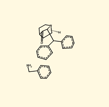 NCc1ccccc1.O=C1C2CCN(CC2)[C@H]1C(c1ccccc1)c1ccccc1